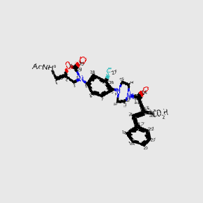 CC(=O)NCC1CN(c2ccc(N3CCN(C(=O)C(=Cc4ccccc4)C(=O)O)CC3)c(F)c2)C(=O)O1